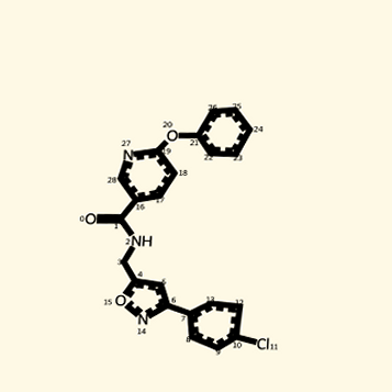 O=C(NCc1cc(-c2ccc(Cl)cc2)no1)c1ccc(Oc2ccccc2)nc1